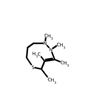 C/C1=C(/C)N(C)N(C)CCCSC1C